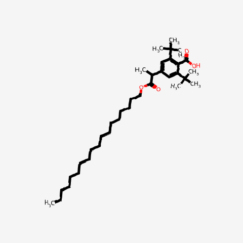 CCCCCCCCCCCCCCCCCCOC(=O)C(C)c1cc(C(C)(C)C)c(C(=O)O)c(C(C)(C)C)c1